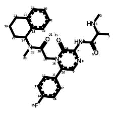 CNC(C)C(=O)Nc1ncc(-c2ccc(F)cc2)n(CC(=O)N(C)C2CCCc3ccccc32)c1=O